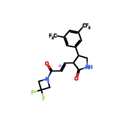 O=C1NCC(c2cc(C(F)(F)F)cc(C(F)(F)F)c2)C1/C=C/C(=O)N1CC(F)(F)C1